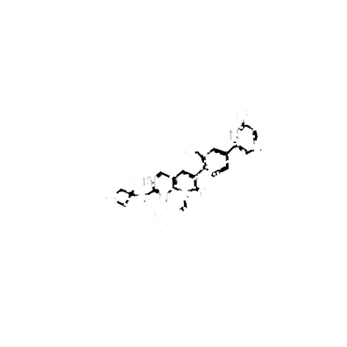 C=Cn1c(=O)c(-c2ccc(-c3cncc(C)n3)cc2Cl)cc2cnc(NC3(C)COC3)nc21